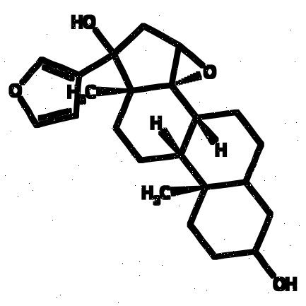 C[C@]12CCC(O)CC1CC[C@@H]1[C@H]2CC[C@]2(C)C(O)(c3ccoc3)CC3O[C@]312